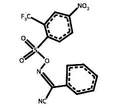 N#CC(=NOS(=O)(=O)c1ccc([N+](=O)[O-])cc1C(F)(F)F)c1ccccc1